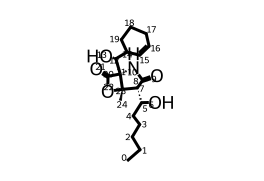 CCCCCC(O)[C@H]1C(=O)N[C@@]2([C@@H](O)C3C=CCCC3)C(=O)O[C@@]12C